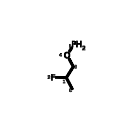 CC(F)COP